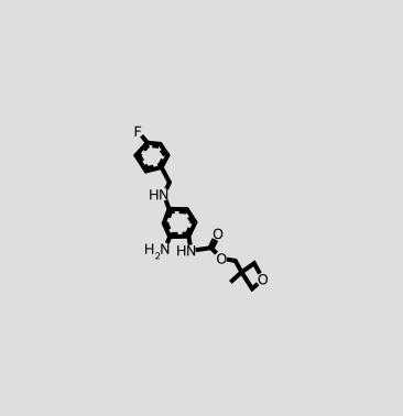 CC1(COC(=O)Nc2ccc(NCc3ccc(F)cc3)cc2N)COC1